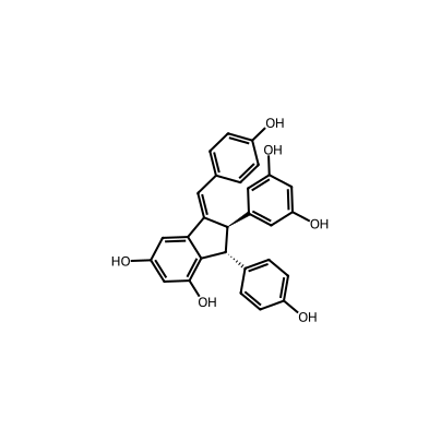 Oc1ccc(/C=C2/c3cc(O)cc(O)c3[C@@H](c3ccc(O)cc3)[C@@H]2c2cc(O)cc(O)c2)cc1